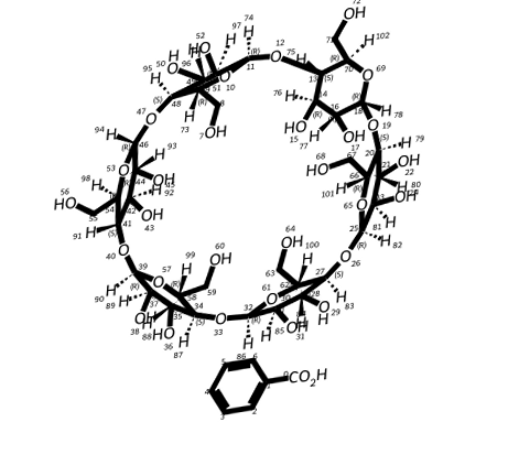 O=C(O)c1ccccc1.OC[C@H]1O[C@@H]2O[C@H]3[C@H](O)[C@@H](O)[C@@H](O[C@H]4[C@H](O)[C@@H](O)[C@@H](O[C@H]5[C@H](O)[C@@H](O)[C@@H](O[C@H]6[C@H](O)[C@@H](O)[C@@H](O[C@H]7[C@H](O)[C@@H](O)[C@@H](O[C@H]1[C@H](O)[C@H]2O)O[C@@H]7CO)O[C@@H]6CO)O[C@@H]5CO)O[C@@H]4CO)O[C@@H]3CO